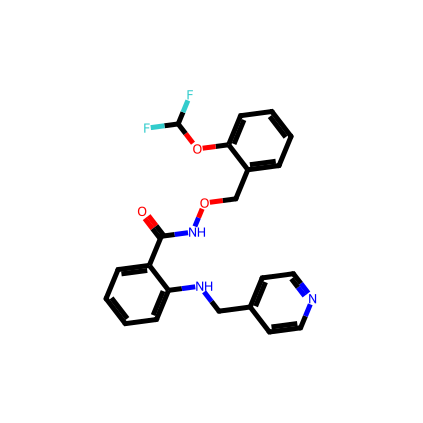 O=C(NOCc1ccccc1OC(F)F)c1ccccc1NCc1ccncc1